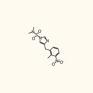 Cc1c(Cc2cn(S(=O)(=O)N(C)C)cn2)cccc1[N+](=O)[O-]